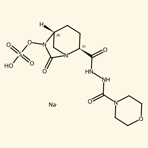 O=C(NNC(=O)N1CCOCC1)[C@@H]1CC[C@@H]2CN1C(=O)N2OS(=O)(=O)O.[Na]